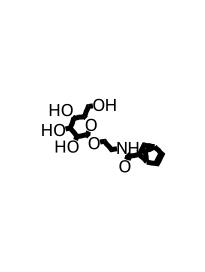 O=C(NCCOC1OC(CO)C(O)C(O)C1O)C1CC2C=CC1C2